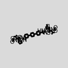 COC(=O)N[C@H](C(=O)N1C[Si](C)(C)C[C@H]1c1ncc(-c2ccc(-c3ccc(-c4ccc5[nH]c([C@@H]6CCCN6C(=O)[C@@H](NC(=O)OC)C(C)C)nc5c4)cc3)cc2)[nH]1)C(C)C